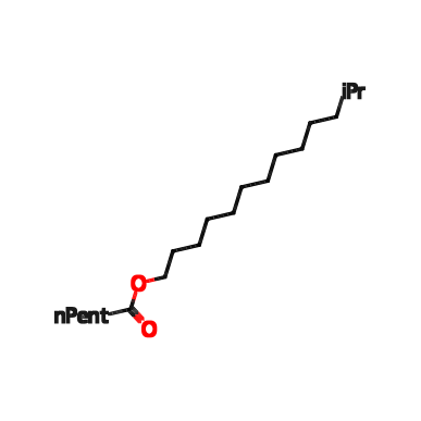 CCCCCC(=O)OCCCCCCCCCCCC(C)C